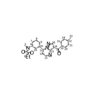 CCS(=O)(=O)N(C)c1cccc(-c2ccnc3c(C(=O)c4ccc(C)cc4)cnn23)c1